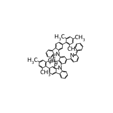 Cc1cc(C)c(-c2ccc3c4ccccc4n(-c4cc(-c5cccc(-c6ccccc6)n5)cc(-n5c6ccccc6c6ccc(-c7c(C)cc(C)cc7C)cc65)c4C(F)(F)F)c3c2)c(C)c1